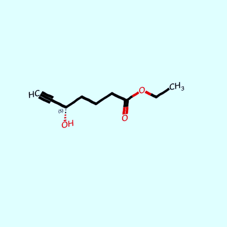 C#C[C@@H](O)CCCC(=O)OCC